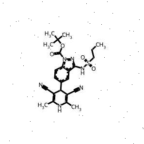 CCCS(=O)(=O)Nc1nn(C(=O)OC(C)(C)C)c2ccc(C3C(C#N)=C(C)NC(C)=C3C#N)cc12